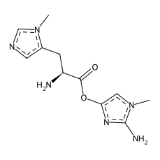 Cn1cncc1C[C@H](N)C(=O)Oc1cn(C)c(N)n1